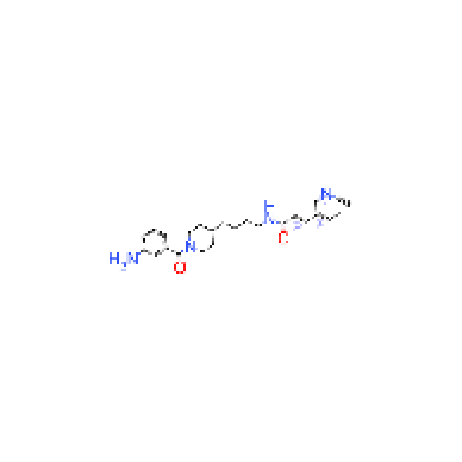 C#C\N=C/C(=C\C)/C=C/C(=O)NCCCCC1CCN(C(=O)c2cccc(N)c2)CC1